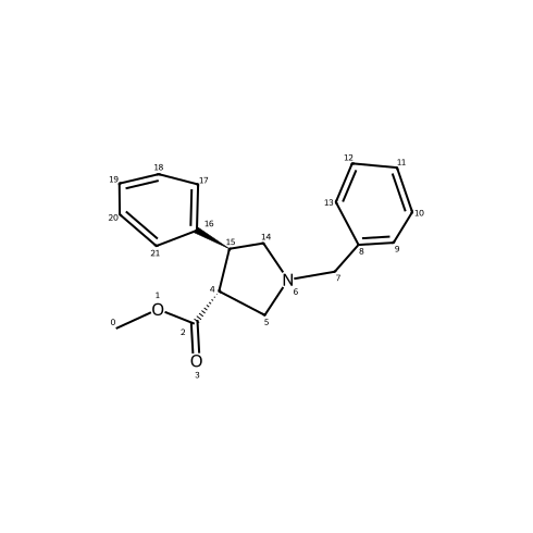 COC(=O)[C@H]1CN(Cc2ccccc2)C[C@@H]1c1ccccc1